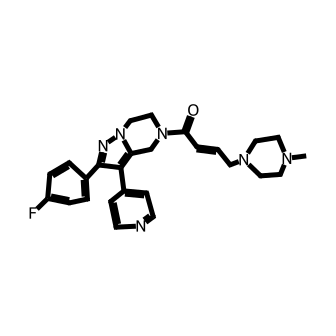 CN1CCN(C/C=C/C(=O)N2CCn3nc(-c4ccc(F)cc4)c(-c4ccncc4)c3C2)CC1